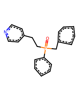 O=P(CCc1ccncc1)(Cc1ccccc1)c1ccccc1